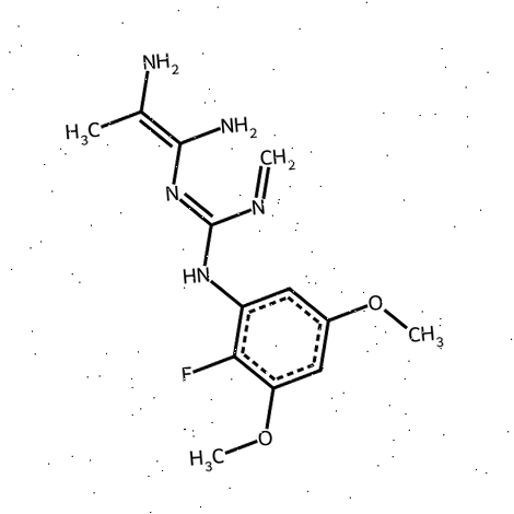 C=N/C(=N\C(N)=C(/C)N)Nc1cc(OC)cc(OC)c1F